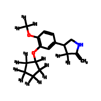 [2H]C([2H])([2H])Oc1ccc(C2CNC(=C)C2([2H])[2H])cc1OC1([2H])C([2H])([2H])C([2H])([2H])C([2H])([2H])C1([2H])[2H]